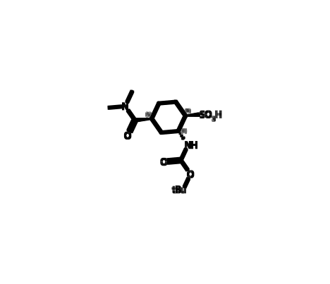 CN(C)C(=O)[C@H]1CC[C@@H](S(=O)(=O)O)[C@H](NC(=O)OC(C)(C)C)C1